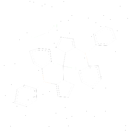 ClC(Cl)(C1C=CC=C1P(c1ccccc1)c1ccccc1)C1C=CC=C1P(c1ccccc1)c1ccccc1.[Cl][Fe][Cl]